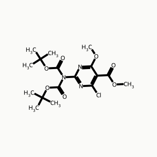 COC(=O)c1c(Cl)nc(N(C(=O)OC(C)(C)C)C(=O)OC(C)(C)C)nc1OC